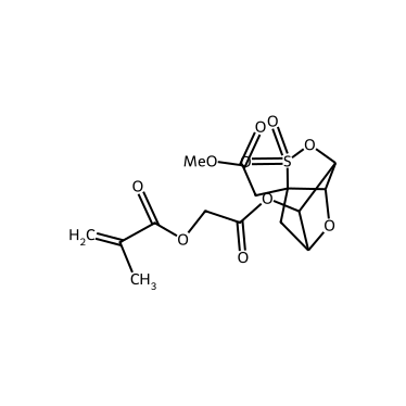 C=C(C)C(=O)OCC(=O)OC1C2CC3(CC(=O)OC)C(O2)C1OS3(=O)=O